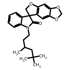 CC(CCN1C(=O)C2(COc3cc4c(cc32)OCO4)c2ccccc21)CC(C)(C)C